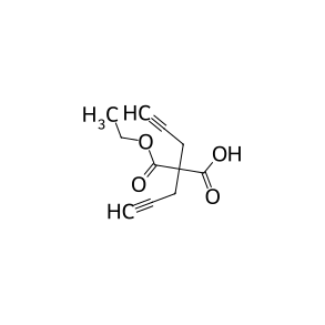 C#CCC(CC#C)(C(=O)O)C(=O)OCC